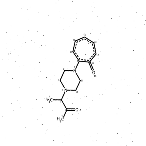 CC(=O)C(C)N1CCN(c2cccccc2=O)CC1